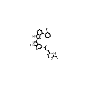 C=N/C(=C\C=C(/C)c1cnc2[nH]nc(-c3nc4c(-c5ccccc5F)cccc4[nH]3)c2c1)NC(=O)CC